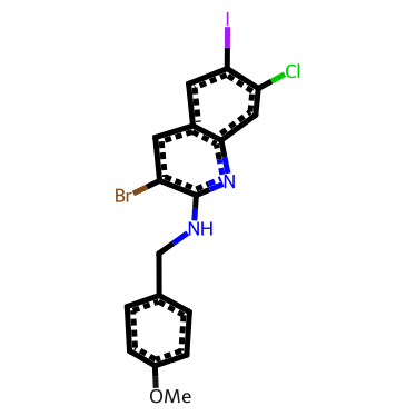 COc1ccc(CNc2nc3cc(Cl)c(I)cc3cc2Br)cc1